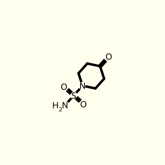 NS(=O)(=O)N1CCC(=O)CC1